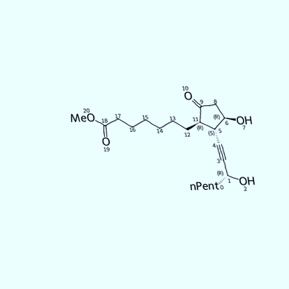 CCCCC[C@@H](O)C#C[C@H]1[C@H](O)CC(=O)[C@@H]1CCCCCCC(=O)OC